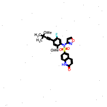 COc1cc(C#CC(C)(C)OC)c(F)cc1N(c1ccon1)S(=O)(=O)c1ccc2[nH]c(=O)ccc2c1